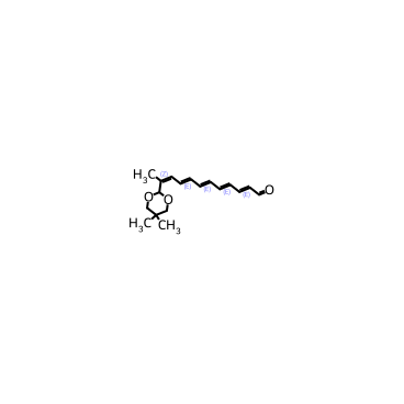 C/C(=C/C=C/C=C/C=C/C=C/C=O)C1OCC(C)(C)CO1